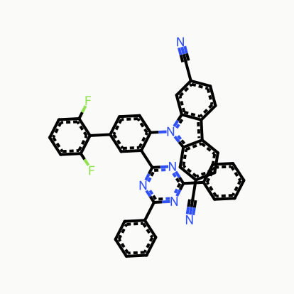 N#Cc1ccc2c3ccc(C#N)cc3n(-c3ccc(-c4c(F)cccc4F)cc3-c3nc(-c4ccccc4)nc(-c4ccccc4)n3)c2c1